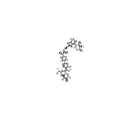 Cc1cc2c(N3CCCc4nc(-c5ccc(C(=O)NCC#Cc6cc7c(C8CCC(=O)NC8=O)nccc7o6)nc5)ncc43)cc(C(C)C)cc2n(C)c1=O